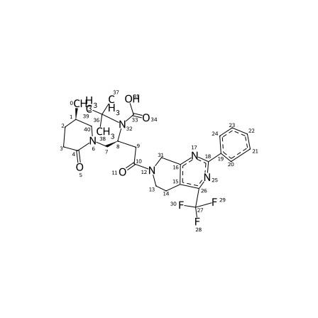 C[C@@H]1CCC(=O)N(C[C@H](CC(=O)N2CCc3c(nc(-c4ccccc4)nc3C(F)(F)F)C2)N(C(=O)O)C(C)(C)C)C1